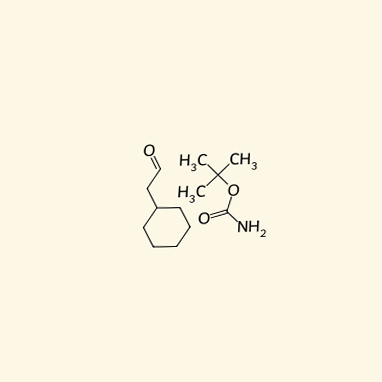 CC(C)(C)OC(N)=O.O=CCC1CCCCC1